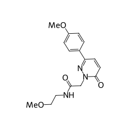 COCCNC(=O)Cn1nc(-c2ccc(OC)cc2)ccc1=O